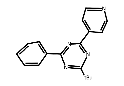 CC(C)(C)c1nc(-c2ccccc2)nc(-c2ccncc2)n1